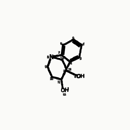 OC1c2ccccc2N2CCC1(O)CC2